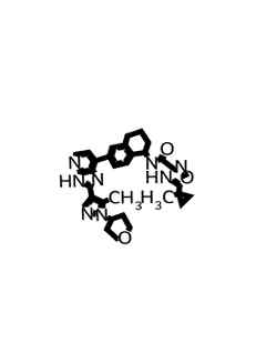 Cc1c(-c2nc3c(-c4ccc5c(c4)CCCC5NC(=O)c4noc(C5(C)CC5)n4)ccnc3[nH]2)cnn1C1CCOCC1